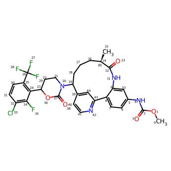 COC(=O)Nc1ccc2c(c1)NC(=O)[C@H](C)CCCC(N1CCC(c3c(C(F)(F)F)ccc(Cl)c3F)OC1=O)c1ccnc-2c1